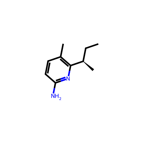 CC[C@@H](C)c1nc(N)ccc1C